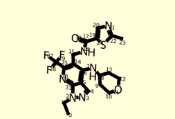 CCn1ncc2c(NC3CCOCC3)c(CNC(=O)c3cnc(C)s3)c(C(F)(F)F)nc21